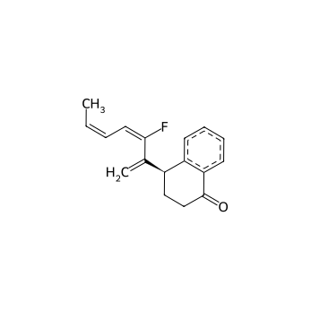 C=C(/C(F)=C\C=C/C)[C@@H]1CCC(=O)c2ccccc21